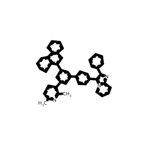 Cc1ccc(-c2cc(-c3ccc(-c4c(-c5ccccc5)nc5ccccn45)cc3)cc(-c3cc4ccccc4c4ccccc34)c2)c(C)n1